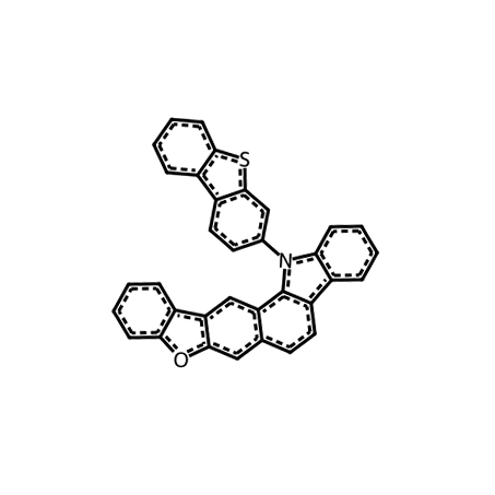 c1ccc2c(c1)oc1cc3ccc4c5ccccc5n(-c5ccc6c(c5)sc5ccccc56)c4c3cc12